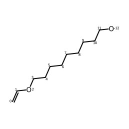 C=COCCCCCCCCC[O]